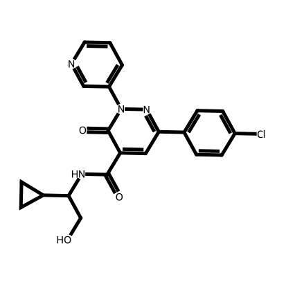 O=C(NC(CO)C1CC1)c1cc(-c2ccc(Cl)cc2)nn(-c2cccnc2)c1=O